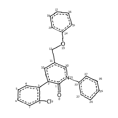 O=c1c(-c2ccccc2Cl)cc(COc2ccccc2)cn1-c1ccccc1